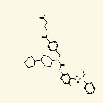 CCN(c1ccccc1)S(=O)(=O)c1cc(NC(=O)N(Cc2ccc(C(=O)NCCC(=O)O)cc2)C2CCC(C3CCCCC3)CC2)ccc1C